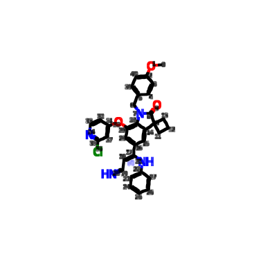 COc1ccc(CN2C(=O)C3(CCC3)c3cc(/C(=C/C=N)Nc4ccccc4)cc(Oc4ccnc(Cl)c4)c32)cc1